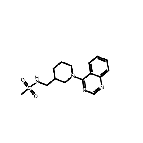 CS(=O)(=O)NCC1CCCN(c2ncnc3ccccc23)C1